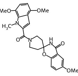 COc1ccc2c(c1)C(=O)NC1(CCN(C(=O)c3cc4c(OC)ccc(OC)c4n3C)CC1)O2